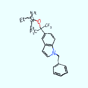 CC[Si](CC)(CC)OC(c1ccc2c(ccn2Cc2ccccc2)c1)(C(F)(F)F)C(F)(F)F